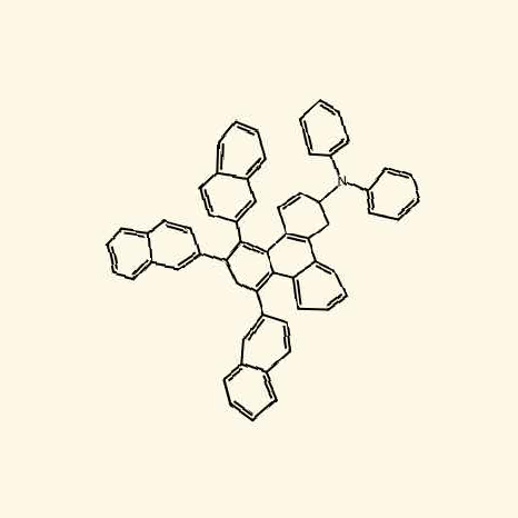 C1=CC(N(c2ccccc2)c2ccccc2)Cc2c1c1c(c3ccccc23)=C(c2ccc3ccccc3c2)CC(c2ccc3ccccc3c2)C=1c1ccc2ccccc2c1